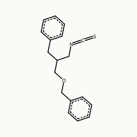 S=C=NCC(COCc1ccccc1)Cc1ccccc1